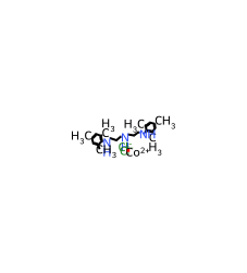 Cc1cc(C)c(NCCCNCCCNc2c(C)cc(C)cc2C)c(C)c1.[Cl-].[Cl-].[Co+2]